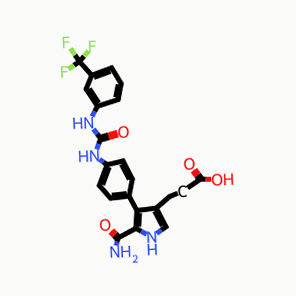 NC(=O)c1[nH]cc(CCC(=O)O)c1-c1ccc(NC(=O)Nc2cccc(C(F)(F)F)c2)cc1